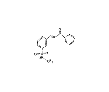 CNS(=O)(=O)c1cccc(C=CC(=O)c2ccccc2)c1